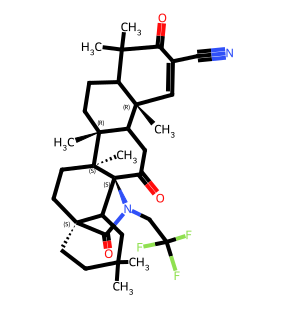 CC1(C)CC[C@]23CC[C@@]4(C)[C@]5(C)CCC6C(C)(C)C(=O)C(C#N)=C[C@]6(C)C5CC(=O)[C@@]4(C2C1)N(CC(F)(F)F)C3=O